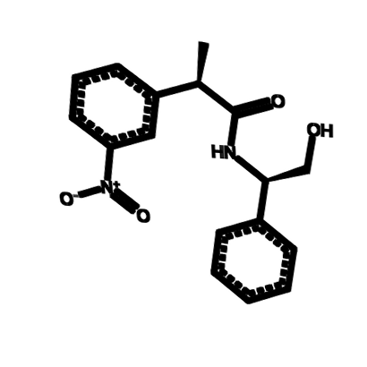 C[C@@H](C(=O)N[C@@H](CO)c1ccccc1)c1cccc([N+](=O)[O-])c1